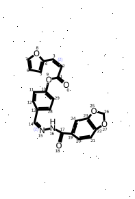 O=C(/C=C\c1ccco1)Oc1ccc(/C=N\NC(=O)c2ccc3c(c2)OCO3)cc1